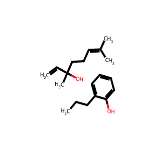 C=CC(C)(O)CCC=C(C)C.CCCc1ccccc1O